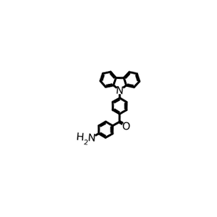 Nc1ccc(C(=O)c2ccc(-n3c4ccccc4c4ccccc43)cc2)cc1